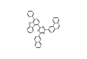 c1ccc(-c2ccc(-c3nc(-c4ccc5ccccc5c4)nc(-c4ccc5ccc6ccccc6c5c4)n3)c3c2oc2ccccc23)cc1